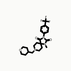 CN1C(=O)N(c2ccc(C(F)(F)F)cc2)C(=O)C12CCN(CC1CCOCC1)CC2